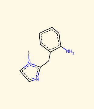 Cn1ccnc1Cc1ccccc1N